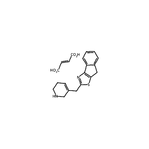 C1=C(Cc2nc3c(s2)Cc2ccccc2-3)CNCC1.O=C(O)C=CC(=O)O